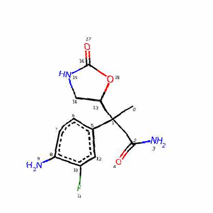 CC(C(N)=O)(c1ccc(N)c(F)c1)C1CNC(=O)O1